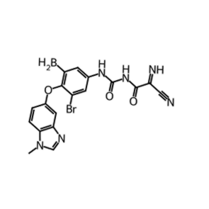 Bc1cc(NC(=O)NC(=O)C(=N)C#N)cc(Br)c1Oc1ccc2c(c1)ncn2C